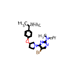 CCCN(C)c1ncc(Br)c(N2CC[C@@H](Oc3ccc([C@H](C)NC(C)=O)cc3)C2)n1